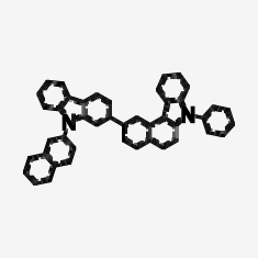 c1ccc(-n2c3ccccc3c3c4cc(-c5ccc6c7ccccc7n(-c7ccc8ccccc8c7)c6c5)ccc4ccc32)cc1